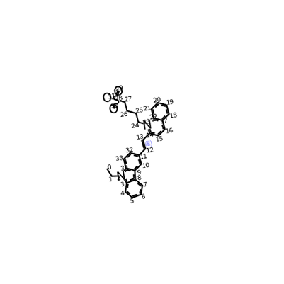 CCn1c2ccccc2c2cc(/C=C/c3ccc4ccccc4[n+]3CCCCS(=O)(=O)[O-])ccc21